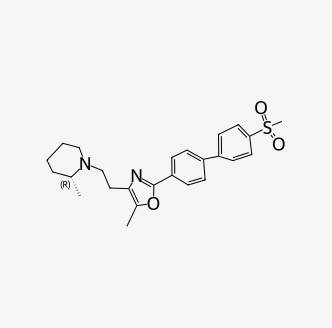 Cc1oc(-c2ccc(-c3ccc(S(C)(=O)=O)cc3)cc2)nc1CCN1CCCC[C@H]1C